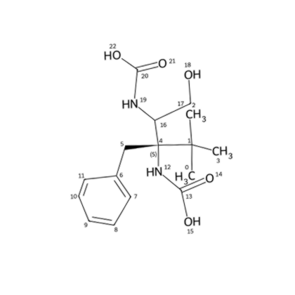 CC(C)(C)[C@](Cc1ccccc1)(NC(=O)O)C(CO)NC(=O)O